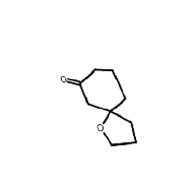 O=C1CCCC2(CCCO2)C1